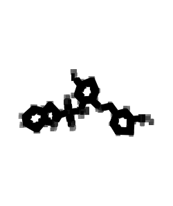 Nc1cccc(CSc2ccc(F)cc2NS(=O)(=O)c2cc3ccccc3o2)c1